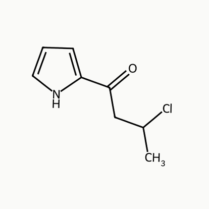 CC(Cl)CC(=O)c1ccc[nH]1